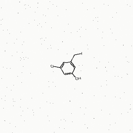 Oc1cc(Cl)cc(CI)c1